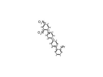 CC(C)c1ccccc1-[n+]1ccc(-c2cc[n+](-c3ccc([N+](=O)[O-])cc3[N+](=O)[O-])cc2)cc1